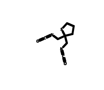 O=C=NCC1(CN=C=O)CCCS1